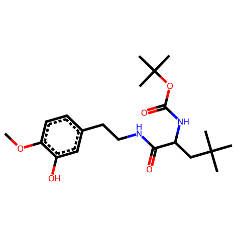 COc1ccc(CCNC(=O)C(CC(C)(C)C)NC(=O)OC(C)(C)C)cc1O